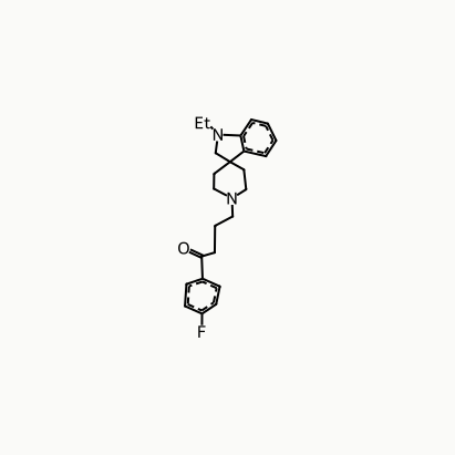 CCN1CC2(CCN(CCCC(=O)c3ccc(F)cc3)CC2)c2ccccc21